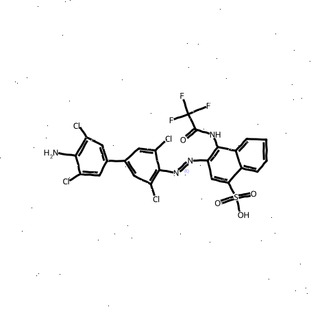 Nc1c(Cl)cc(-c2cc(Cl)c(/N=N/c3cc(S(=O)(=O)O)c4ccccc4c3NC(=O)C(F)(F)F)c(Cl)c2)cc1Cl